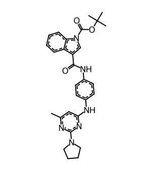 Cc1cc(Nc2ccc(NC(=O)c3cn(C(=O)OC(C)(C)C)c4ccccc34)cc2)nc(N2CCCC2)n1